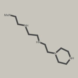 CNCCNCCNCCN1CCNCC1